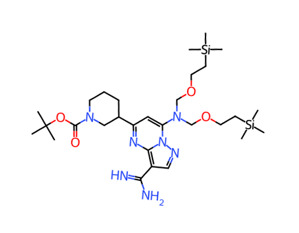 CC(C)(C)OC(=O)N1CCCC(c2cc(N(COCC[Si](C)(C)C)COCC[Si](C)(C)C)n3ncc(C(=N)N)c3n2)C1